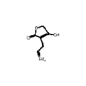 C=CCC1=C(O)COC1=O